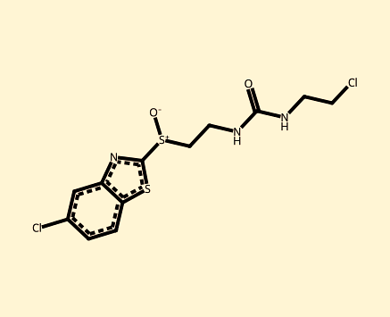 O=C(NCCCl)NCC[S+]([O-])c1nc2cc(Cl)ccc2s1